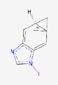 CC12C=c3c(ncn3I)=C[C@H]1C2